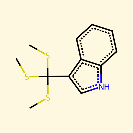 CSC(SC)(SC)c1c[nH]c2ccccc12